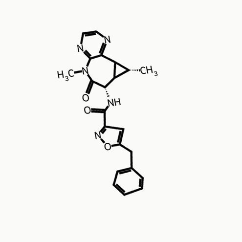 C[C@H]1C2c3nccnc3N(C)C(=O)[C@@H](NC(=O)c3cc(Cc4ccccc4)on3)C21